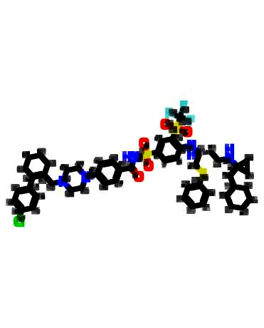 O=C(NS(=O)(=O)c1ccc(N[C@H](CCNC2(CC3CCCCC3)CC2)CSc2ccccc2)c(S(=O)(=O)C(F)(F)F)c1)c1ccc(N2CCN(CC3=C(c4ccc(Cl)cc4)CCCC3)CC2)cc1